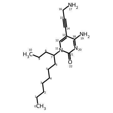 CCCCCCCC(CCC)n1cc(C#CCN)c(N)nc1=O